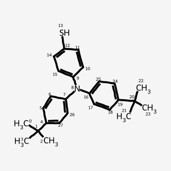 CC(C)(C)c1ccc(N(c2ccc(S)cc2)c2ccc(C(C)(C)C)cc2)cc1